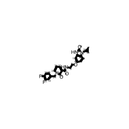 O=C(NCCOc1ccc2c(c1)[nH]c(=O)n2C1CC1)c1cccn(Cc2ccc(F)c(F)c2)c1=O